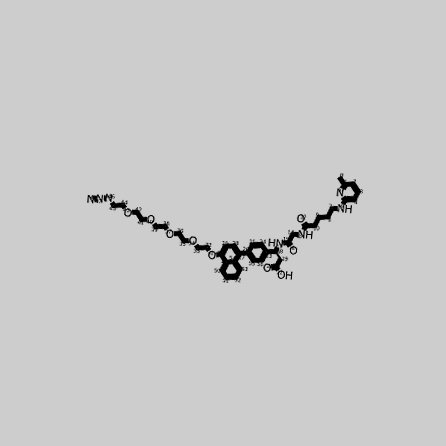 Cc1cccc(NCCCCC(=O)NCC(=O)N[C@@H](CC(=O)O)c2ccc(-c3ccc(OCCOCCOCCOCCOCCN=[N+]=[N-])c4ccccc34)cc2)n1